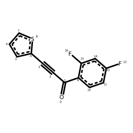 O=C(C#Cc1cccs1)c1ccc(F)cc1F